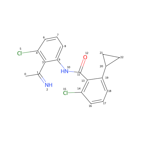 CC(=N)c1c(Cl)cccc1NC(=O)c1c(Cl)cccc1C1CC1